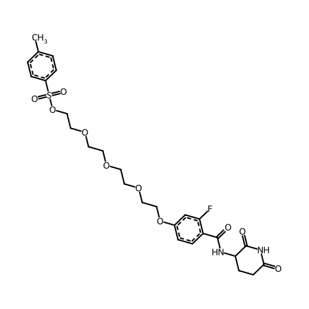 Cc1ccc(S(=O)(=O)OCCOCCOCCOCCOc2ccc(C(=O)NC3CCC(=O)NC3=O)c(F)c2)cc1